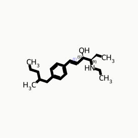 CCCC(C)Cc1ccc(/C=C/[C@H](O)[C@@H](CC)NCC)cc1